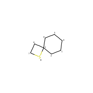 C1CCC2(CC1)CCS2